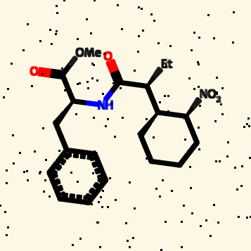 CC[C@H](C(=O)N[C@@H](Cc1ccccc1)C(=O)OC)[C@@H]1CCCC[C@@H]1[N+](=O)[O-]